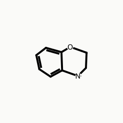 c1ccc2c(c1)[N]CCO2